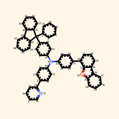 c1ccc(C2(c3ccc(N(c4ccc(-c5ccccn5)cc4)c4ccc(-c5cccc6c5oc5ccccc56)cc4)cc3)c3ccccc3-c3ccccc32)cc1